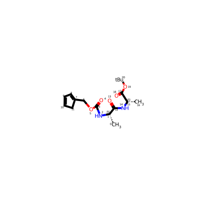 C[C@H](NC(=O)OCC1=CC=CC1)C(=O)N[C@@H](C)C(=O)OC(C)(C)C